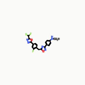 O=C(O)Nc1ccc(-c2noc(Cc3ccc(-c4nnc(C(F)F)o4)cc3F)n2)cc1